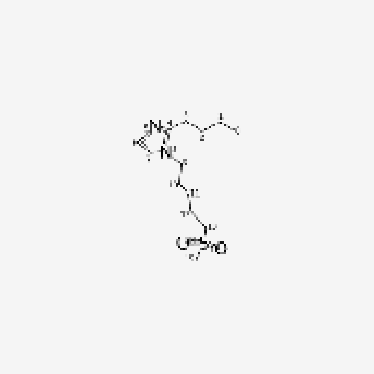 CCCCc1nccn1CCCCCS(C)(=O)=O